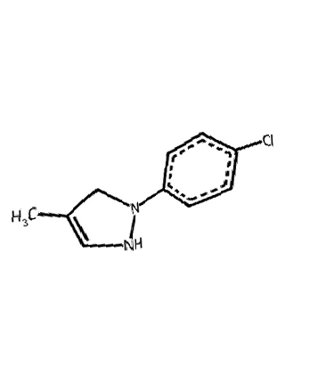 CC1=CNN(c2ccc(Cl)cc2)C1